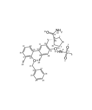 CS(=O)(=O)N[C@H]1CC[C@](Cc2cc(-c3cccc(F)c3OCc3ccccc3)c(F)cc2Cl)(C(N)=O)C1